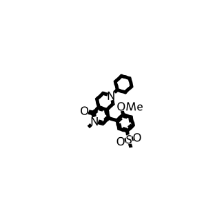 COc1ccc(S(C)(=O)=O)cc1-c1cn(C)c(=O)c2c1CN(C1CCCCC1)CC2